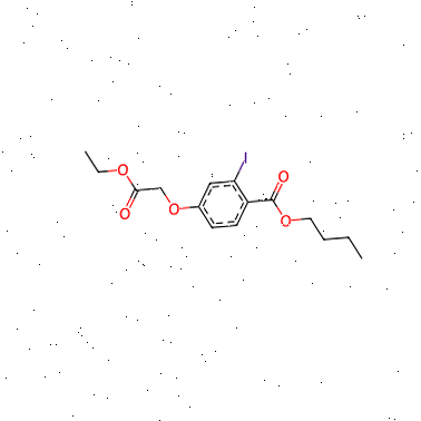 CCCCOC(=O)c1ccc(OCC(=O)OCC)cc1I